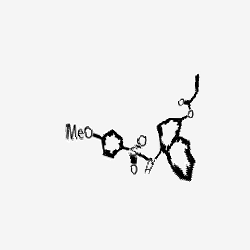 C=CC(=O)Oc1ccc(NS(=O)(=O)c2ccc(OC)cc2)c2ccccc12